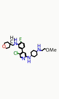 COCCN[C@H]1CC[C@H](Nc2cc(-c3ccc(F)c(NCC4(C)CCOCC4)c3)c(Cl)cn2)CC1